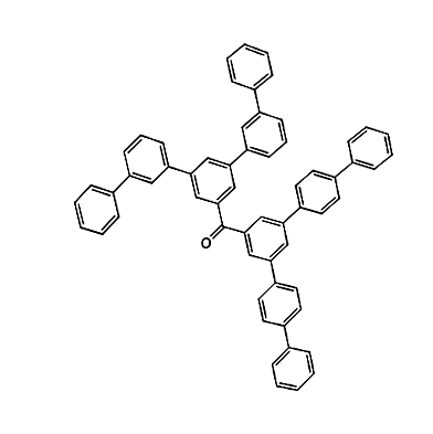 O=C(c1cc(-c2ccc(-c3ccccc3)cc2)cc(-c2ccc(-c3ccccc3)cc2)c1)c1cc(-c2cccc(-c3ccccc3)c2)cc(-c2cccc(-c3ccccc3)c2)c1